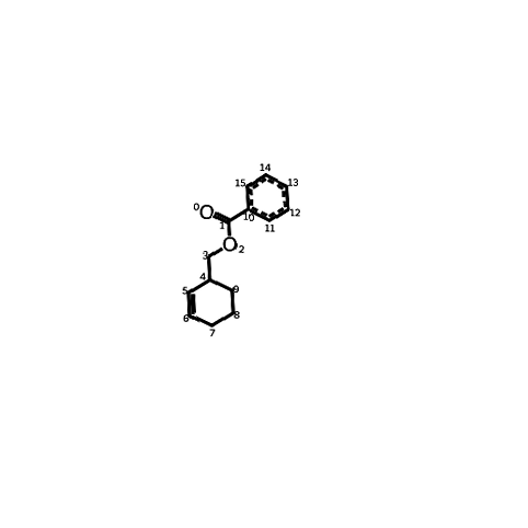 O=C(OCC1C=CCCC1)c1ccccc1